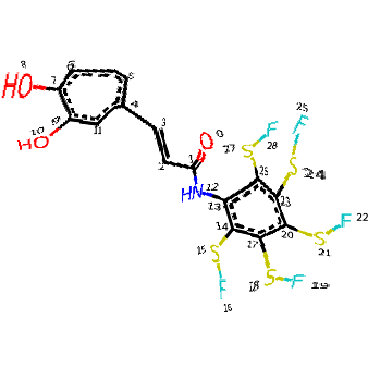 O=C(C=Cc1ccc(O)c(O)c1)Nc1c(SF)c(SF)c(SF)c(SF)c1SF